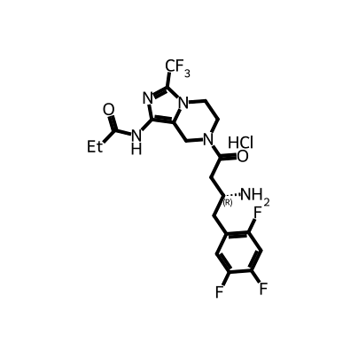 CCC(=O)Nc1nc(C(F)(F)F)n2c1CN(C(=O)C[C@H](N)Cc1cc(F)c(F)cc1F)CC2.Cl